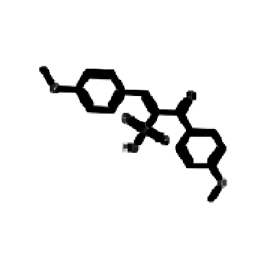 COc1ccc(C=C(C(=O)c2ccc(OC)cc2)S(=O)(=O)O)cc1